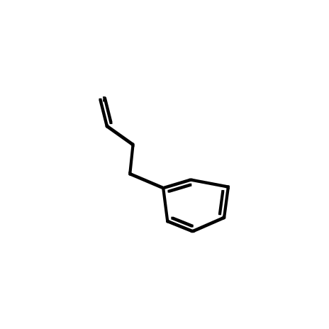 [C]=CCCc1ccccc1